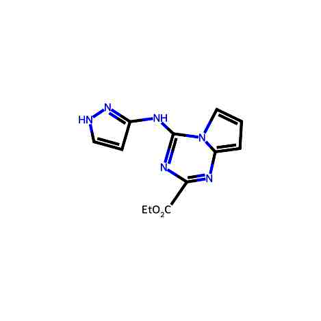 CCOC(=O)c1nc(Nc2cc[nH]n2)n2cccc2n1